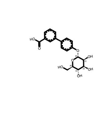 O=C(O)c1cccc(-c2ccc(O[C@H]3O[C@H](CO)[C@@H](O)[C@H](O)[C@@H]3O)cc2)c1